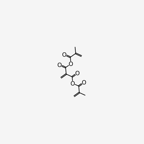 C=C(C)C(=O)OC(=O)C(=C)C(=O)OC(=O)C(=C)C